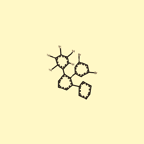 [2H]c1c([2H])c([2H])c(-c2cccc(-c3ccccc3)c2-c2cc(Br)cc(Br)c2)c([2H])c1[2H]